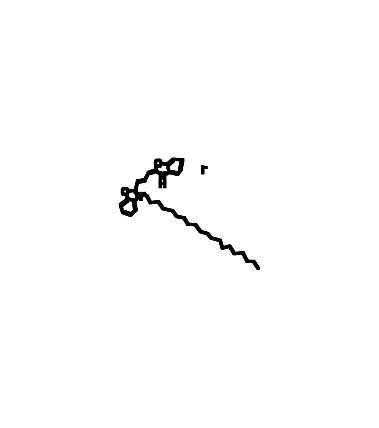 CCCCCCCCCCCCCCCCCCCC[n+]1c(C=CC=C2Nc3ccccc3O2)oc2ccccc21.[I-]